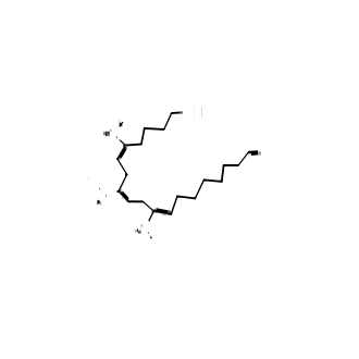 CCCCC/C(=C\C/C(=C\C/C(=C\CCCCCC[C]=O)[N+](=O)[O-])[N+](=O)[O-])[N+](=O)[O-]